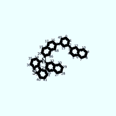 c1cc(-c2ccc3ccccc3c2)cc(-c2ccc3ccc(N(c4ccc5ccccc5c4)c4cccc5sc6ccccc6c45)cc3c2)c1